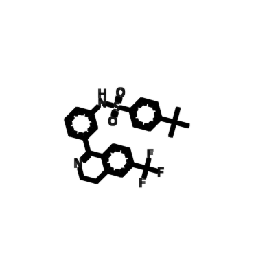 CC(C)(C)c1ccc(S(=O)(=O)Nc2cccc(C3=NCCc4cc(C(F)(F)F)ccc43)c2)cc1